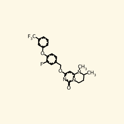 CC1CCn2c(cc(OCc3ccc(Oc4cccc(C(F)(F)F)c4)c(F)c3)nc2=O)N1C